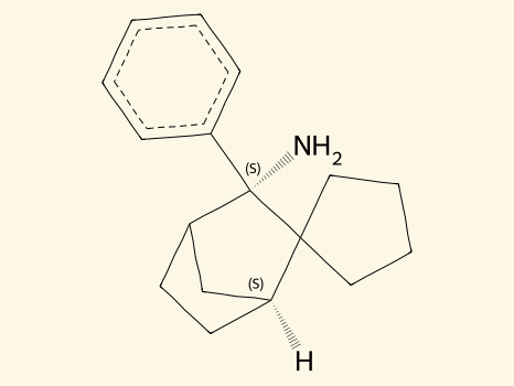 N[C@@]1(c2ccccc2)C2CC[C@@H](C2)C12CCCC2